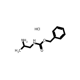 CC(N)CNC(=O)OCc1ccccc1.Cl